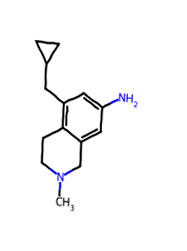 CN1CCc2c(CC3CC3)cc(N)cc2C1